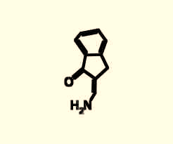 NC=C1Cc2ccccc2C1=O